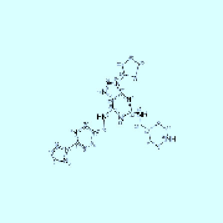 c1cnn(-c2ccc(CNc3nc(NCC4CCNCC4)nc4c3ncn4C3CCCC3)cn2)c1